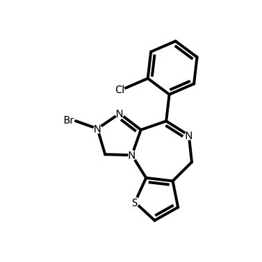 Clc1ccccc1C1=NCc2ccsc2N2CN(Br)N=C12